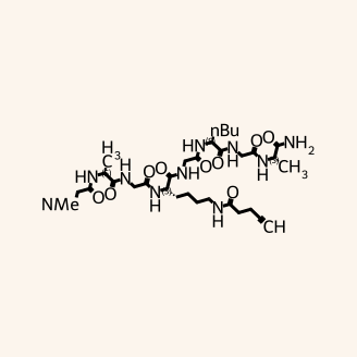 C#CCCC(=O)NCCCC[C@H](NC(=O)CNC(=O)[C@H](C)NC(=O)CNC)C(=O)NCC(=O)N[C@@H](CCCC)C(=O)NCC(=O)N[C@@H](C)C(N)=O